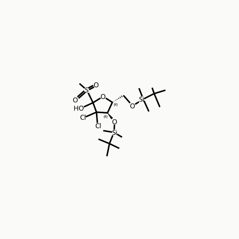 CC(C)(C)[Si](C)(C)OC[C@H]1OC(O)(S(C)(=O)=O)C(Cl)(Cl)[C@@H]1O[Si](C)(C)C(C)(C)C